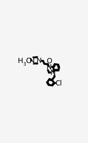 CN1CCN(CCC(=O)N2CCN(Cc3ccccc3Cl)c3ccccc32)CC1